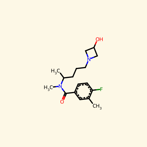 Cc1cc(C(=O)N(C)C(C)CCCN2CC(O)C2)ccc1F